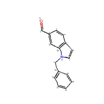 O=Cc1ccc2ccn(Cc3ccccc3)c2c1